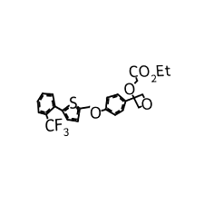 CCOC(=O)COC1(c2ccc(OCc3ccc(-c4ccccc4C(F)(F)F)s3)cc2)COC1